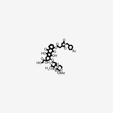 CO[C@H]1OCCN2[C@@H]1O[C@@H]1[C@H](C)O[C@@H](O[C@H]3C[C@](O)(C(=O)CO)Cc4c(O)c5c(c(O)c43)C(=O)c3c(OC(=O)CC4CC(=O)N(CC6CCC(C(C)=O)CC6)C4=O)cccc3C5=O)C[C@@H]12